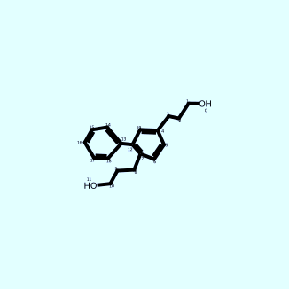 OCCCc1ccc(CCCO)c(-c2ccccc2)c1